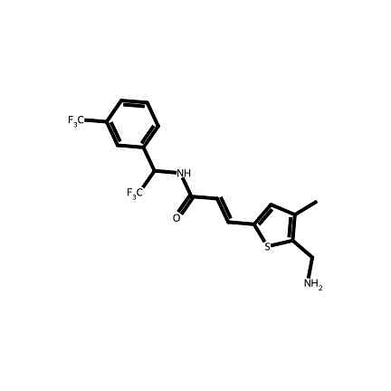 Cc1cc(C=CC(=O)NC(c2cccc(C(F)(F)F)c2)C(F)(F)F)sc1CN